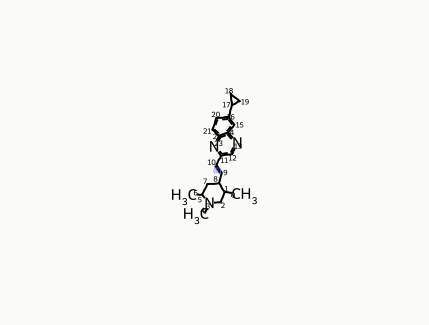 CC1CN(C)C(C)CC1/C=C/c1cnc2cc(C3CC3)ccc2n1